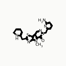 Cn1c2nc(CC3=CC=CCN3)sc2c2cnn(Cc3cccc(N)n3)c(=O)c21